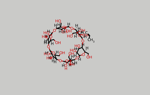 C=CC.OC[C@H]1O[C@@H]2O[C@H]3[C@H](O)[C@@H](O)[C@@H](O[C@H]4[C@H](O)[C@@H](O)[C@@H](O[C@H]5[C@H](O)[C@@H](O)[C@@H](O[C@H]6[C@H](O)[C@@H](O)[C@@H](O[C@H]7[C@H](O)[C@@H](O)[C@@H](O[C@H]1[C@H](O)[C@H]2O)O[C@@H]7CO)O[C@@H]6CO)O[C@@H]5CO)O[C@@H]4CO)O[C@@H]3CO